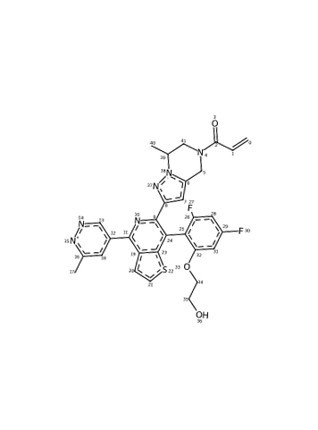 C=CC(=O)N1Cc2cc(-c3nc(-c4cnnc(C)c4)c4ccsc4c3-c3c(F)cc(F)cc3OCCO)nn2C(C)C1